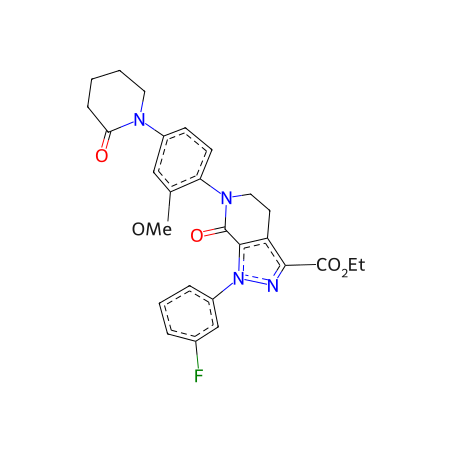 CCOC(=O)c1nn(-c2cccc(F)c2)c2c1CCN(c1ccc(N3CCCCC3=O)cc1OC)C2=O